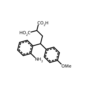 COc1ccc(C(CC(C(=O)O)C(=O)O)c2ccccc2N)cc1